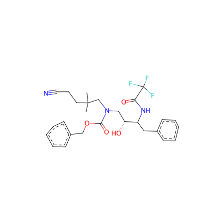 CC(C)(CCC#N)CN(C[C@@H](O)C(Cc1ccccc1)NC(=O)C(F)(F)F)C(=O)OCc1ccccc1